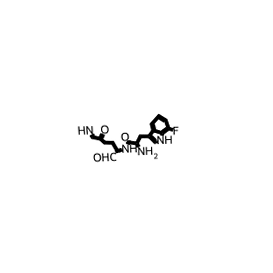 N=CC(=O)CC[C@@H](C=O)NC(=O)C(N)Cc1c[nH]c2c(F)cccc12